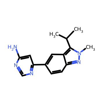 CC(C)c1c2cc(-c3cc(N)ncn3)ccc2nn1C